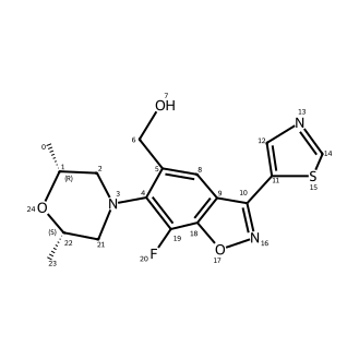 C[C@@H]1CN(c2c(CO)cc3c(-c4cncs4)noc3c2F)C[C@H](C)O1